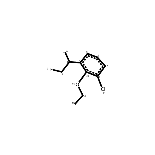 [CH2]C(CF)c1cccc(Cl)c1OCC